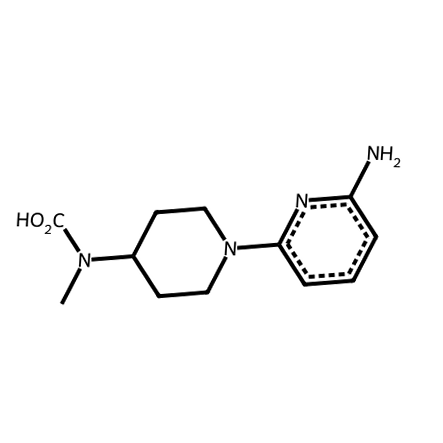 CN(C(=O)O)C1CCN(c2cccc(N)n2)CC1